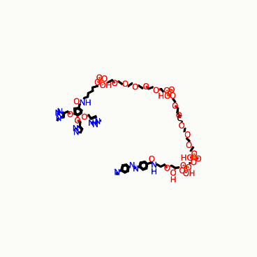 CN(C)c1ccc(/N=N/c2ccc(C(=O)NCCCOCC(O)COP(=O)(O)OCOP(=O)(O)OCCOCCOCCOCCOCCOCCOP(=O)(O)OCCOCCOCCOCCOCCOCCOP(=O)(O)OCCCCCCNC(=O)c3cc(OCc4cn(C)nn4)c(OCC4=CCN=N4)c(OCc4cn(C)nn4)c3)cc2)cc1